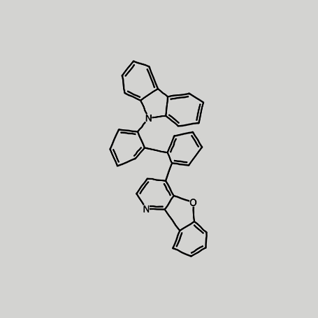 c1ccc(-c2ccnc3c2oc2ccccc23)c(-c2ccccc2-n2c3ccccc3c3ccccc32)c1